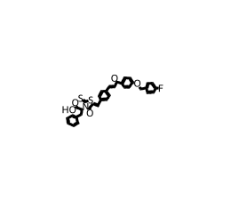 O=C(/C=C/c1ccc(/C=C2\SC(=S)N(C(Cc3ccccc3)C(=O)O)C2=O)cc1)c1ccc(OCc2ccc(F)cc2)cc1